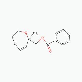 CC1(COC(=O)c2ccccc2)C=CCCCO1